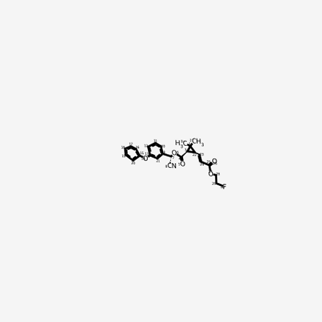 CC1(C)[C@H](C(=O)O[C@H](C#N)c2cccc(Oc3ccccc3)c2)[C@@H]1C=CC(=O)OCCF